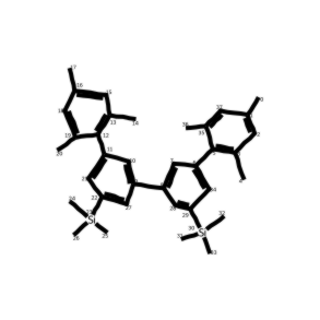 Cc1cc(C)c(-c2cc(-c3cc(-c4c(C)cc(C)cc4C)cc([Si](C)(C)C)c3)cc([Si](C)(C)C)c2)c(C)c1